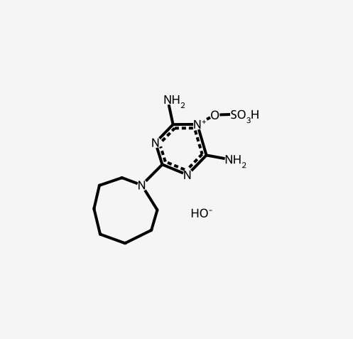 Nc1nc(N2CCCCCCC2)nc(N)[n+]1OS(=O)(=O)O.[OH-]